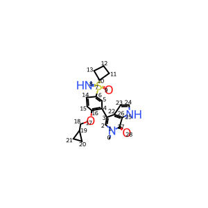 Cn1cc(-c2cc(S(=N)(=O)C3CCC3)ccc2OCC2CC2)c2cc[nH]c2c1=O